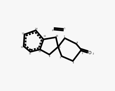 C=C.O=C1CCC2(CC1)Cc1ccccc1C2